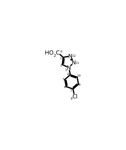 O=C(O)c1cn(-c2ccc(Cl)cc2)nn1